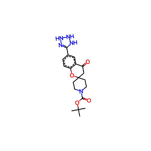 CC(C)(C)OC(=O)N1CCC2(CC1)CC(=O)c1cc(C3=NNNN3)ccc1O2